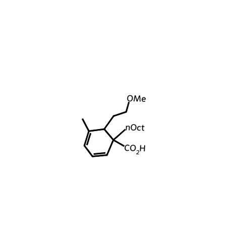 CCCCCCCCC1(C(=O)O)C=CC=C(C)C1CCOC